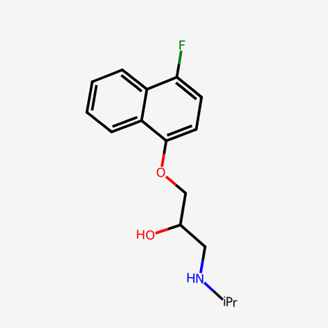 CC(C)NCC(O)COc1ccc(F)c2ccccc12